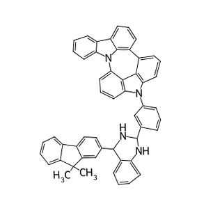 CC1(C)c2ccccc2-c2ccc(C3NC(c4cccc(-n5c6cccc7c8cccc9c%10ccccc%10n(c%10cccc5c%10c76)c89)c4)Nc4ccccc43)cc21